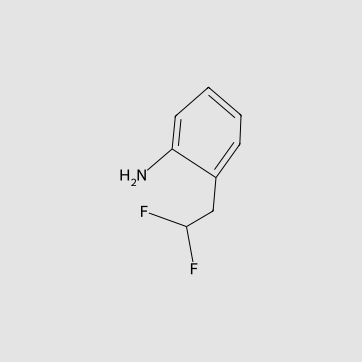 Nc1ccccc1CC(F)F